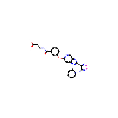 Nc1nonc1-c1nc2cnc(Oc3cccc(C(=O)NCCC(=O)O)c3)cc2n1-c1ccccc1